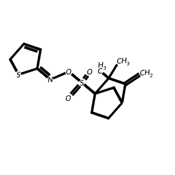 C=C1C2CCC(S(=O)(=O)ON=C3C=CCS3)(C2)C1(C)C